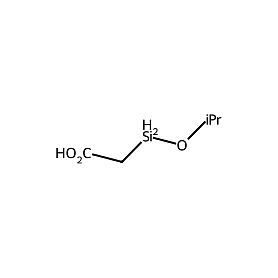 CC(C)O[SiH2]CC(=O)O